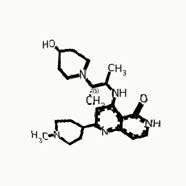 CC(Nc1cc(C2CCN(C)CC2)nc2cc[nH]c(=O)c12)[C@H](C)N1CCC(O)CC1